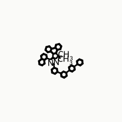 CC1(C)c2nc(-c3cccc(-c4cccc(-c5ccc(-c6ccccc6)cc5)c4)c3)nc(-c3cccc4ccccc34)c2-c2c1c1ccccc1c1ccccc21